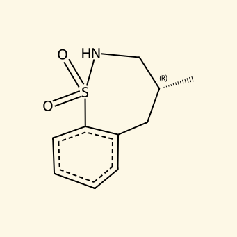 C[C@H]1CNS(=O)(=O)c2ccccc2C1